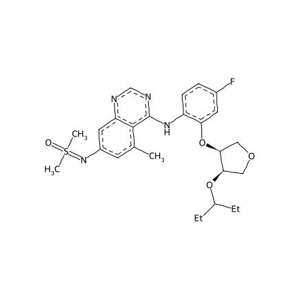 CCC(CC)O[C@@H]1COC[C@@H]1Oc1cc(F)ccc1Nc1ncnc2cc(N=S(C)(C)=O)cc(C)c12